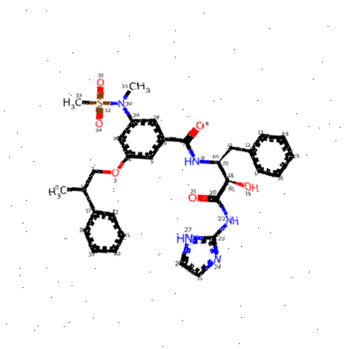 CC(COc1cc(C(=O)N[C@@H](Cc2ccccc2)[C@@H](O)C(=O)Nc2ncc[nH]2)cc(N(C)S(C)(=O)=O)c1)c1ccccc1